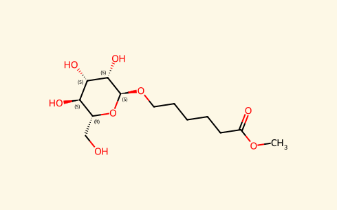 COC(=O)CCCCCO[C@H]1O[C@H](CO)[C@@H](O)[C@H](O)[C@@H]1O